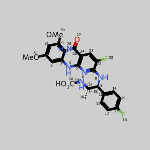 COc1cc(Nc2nc(N[C@@H](c3ccc(F)cc3)[C@H](C)NC(=O)O)c(F)cc2C(N)=O)cc(OC)c1